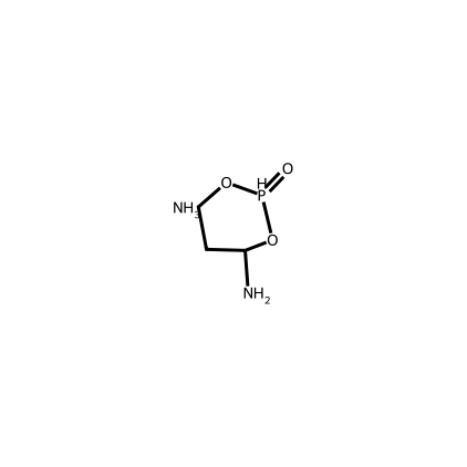 N.NC1CCO[PH](=O)O1